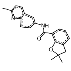 Cc1ccc2cc(NC(=O)c3cccc4c3OC(C)(C)C4)ccc2n1